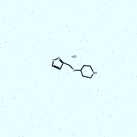 Cl.c1cc(COC2CCNCC2)no1